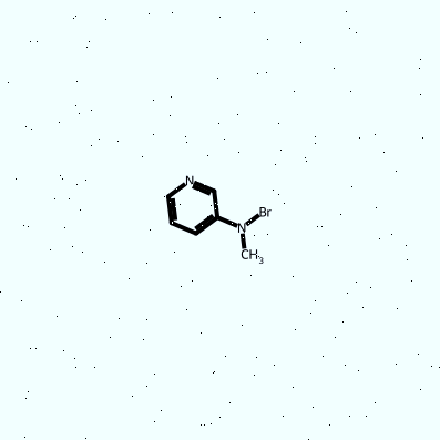 CN(Br)c1cccnc1